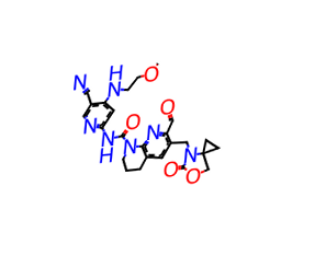 COCCNc1cc(NC(=O)N2CCCc3cc(CN4C(=O)OCC45CC5)c(C=O)nc32)ncc1C#N